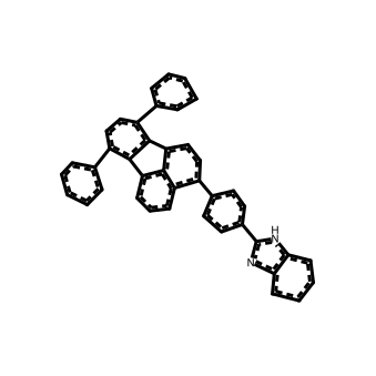 c1ccc(-c2ccc(-c3ccccc3)c3c2-c2cccc4c(-c5ccc(-c6nc7ccccc7[nH]6)cc5)ccc-3c24)cc1